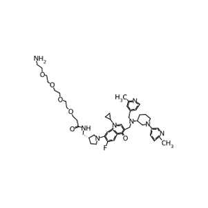 Cc1ccc(N2CCC[C@H](N(Cc3ccnc(C)c3)Cc3cn(C4CC4)c4cc(N5CC[C@H](CNC(=O)CCOCCOCCOCCOCCN)C5)c(F)cc4c3=O)C2)cn1